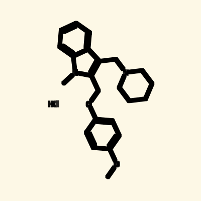 COc1ccc(OCc2c(CN3CCCCC3)c3ccccc3n2C)cc1.Cl